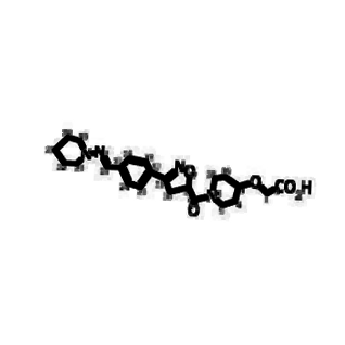 O=C(O)COC1CCN(C(=O)C2CC(c3ccc(C=NN4CCCCC4)cc3)=NO2)CC1